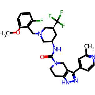 COc1cccc(F)c1CN1C[C@H](NC(=O)N2CCc3[nH]nc(-c4ccnc(C)c4)c3C2)C[C@H](C(F)(F)F)C1